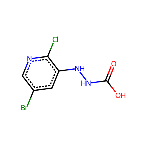 O=C(O)NNc1cc(Br)cnc1Cl